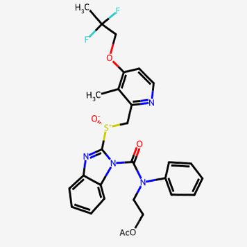 CC(=O)OCCN(C(=O)n1c([S@+]([O-])Cc2nccc(OCC(C)(F)F)c2C)nc2ccccc21)c1ccccc1